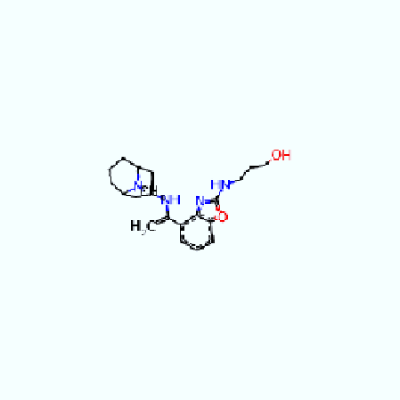 C=C(NC1CC2CCCC(C1)N2C)c1cccc2oc(NCCCO)nc12